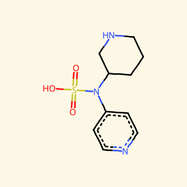 O=S(=O)(O)N(c1ccncc1)C1CCCNC1